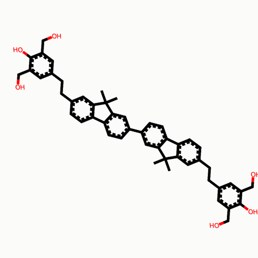 CC1(C)c2cc(CCc3cc(CO)c(O)c(CO)c3)ccc2-c2ccc(-c3ccc4c(c3)C(C)(C)c3cc(CCc5cc(CO)c(O)c(CO)c5)ccc3-4)cc21